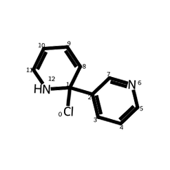 ClC1(c2cccnc2)C=CC=CN1